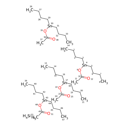 CCC[CH2][Sn]([CH2]CCC)[O]C(C)=O.CCC[CH2][Sn]([CH2]CCC)[O]C(C)=O.CCC[CH2][Sn]([CH2]CCC)[O]C(C)=O.CCC[CH2][Sn]([CH2]CCC)[O]C(C)=O.[SiH4]